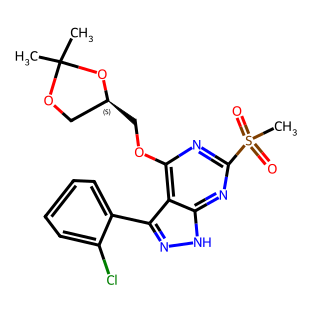 CC1(C)OC[C@H](COc2nc(S(C)(=O)=O)nc3[nH]nc(-c4ccccc4Cl)c23)O1